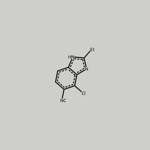 [C-]#[N+]c1ccc2[nH]c(CC)nc2c1Cl